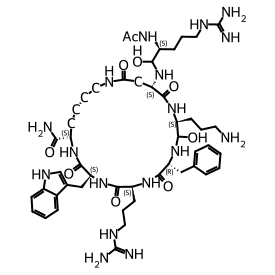 CC(=O)N[C@@H](CCCNC(=N)N)C(O)N[C@H]1CC(=O)NCCCC[C@@H](C(N)=O)NC(=O)[C@H](Cc2c[nH]c3ccccc23)NC(=O)[C@H](CCCNC(=N)N)NC(=O)[C@@H](Cc2ccccc2)NC(O)[C@H](CCCN)NC1=O